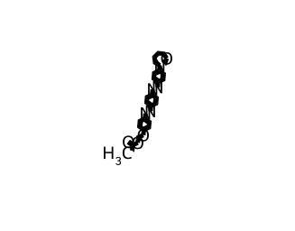 CCC(=O)OCOc1ccc(N=Nc2ccc(N=Nc3ccc(N4CCCCOC4)cc3)cc2)cc1